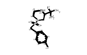 CC(F)(P)C1CN(S(=O)(=O)Cc2ccc(I)cc2)CCN1